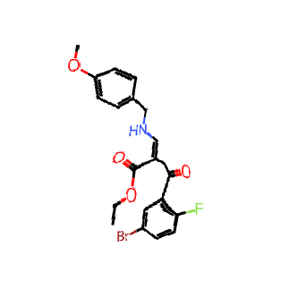 CCOC(=O)/C(=C\NCc1ccc(OC)cc1)C(=O)c1cc(Br)ccc1F